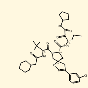 CCC[C@H](NC(=O)[C@@H]1C[C@]2(CC(c3cccc(Cl)c3)=NO2)CN1C(=O)[C@@H](NC(=O)CC1CCCCC1)C(C)(C)C)C(=O)C(=O)NC1CCCC1